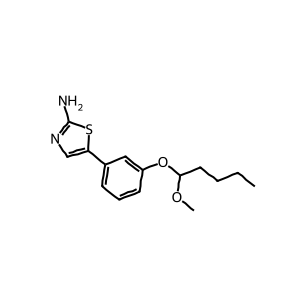 CCCCC(OC)Oc1cccc(-c2cnc(N)s2)c1